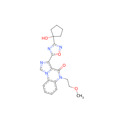 COCCn1c(=O)c2c(-c3nc(C4(O)CCCC4)no3)ncn2c2ccccc21